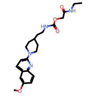 CCNC(=O)COC(=O)NCCC1CCN(c2ccc3cc(OC)ccc3n2)CC1